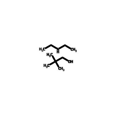 CC(C)(C)CO.CCNCC